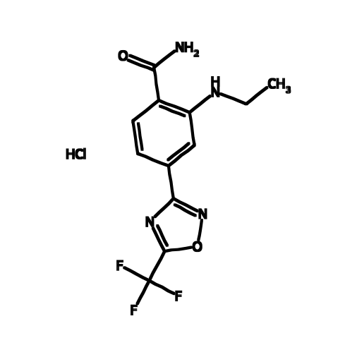 CCNc1cc(-c2noc(C(F)(F)F)n2)ccc1C(N)=O.Cl